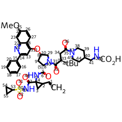 C=CC1CC1(NC(=O)[C@@H]1C[C@@H](Oc2cc(-c3ccccc3)nc3cc(OC)ccc23)CN1C(=O)[C@@H](CC(=O)N1CCC(CNC(=O)O)CC1)C(C)(C)C)C(=O)NS(=O)(=O)C1CC1